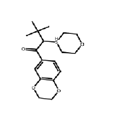 CC(C)(C)C(C(=O)c1ccc2c(c1)OCCO2)[SH]1CCOCC1